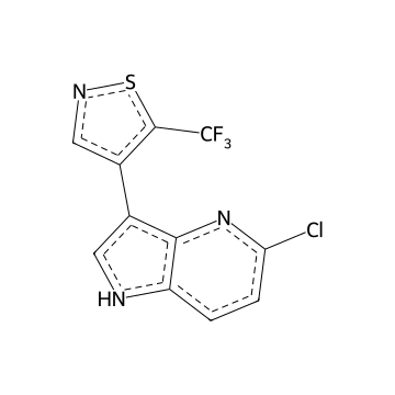 FC(F)(F)c1sncc1-c1c[nH]c2ccc(Cl)nc12